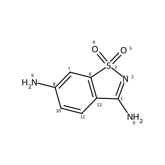 NC1=NS(=O)(=O)c2cc(N)ccc21